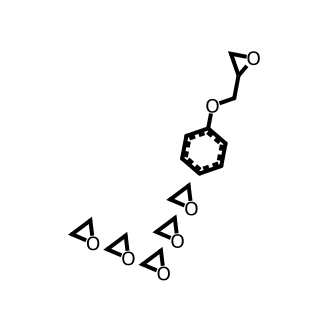 C1CO1.C1CO1.C1CO1.C1CO1.C1CO1.c1ccc(OCC2CO2)cc1